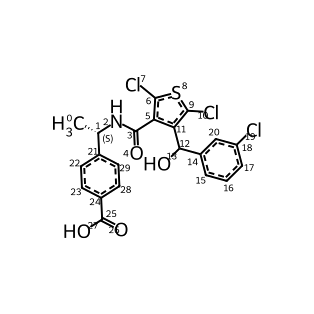 C[C@H](NC(=O)c1c(Cl)sc(Cl)c1C(O)c1cccc(Cl)c1)c1ccc(C(=O)O)cc1